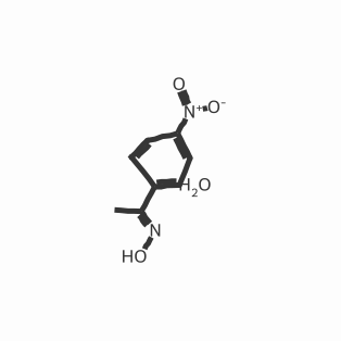 CC(=NO)c1ccc([N+](=O)[O-])cc1.O